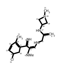 C=C(CN/C=C(/NC)C(=N)C1=C(C)C=CC(Cl)C1)NC1CN(C)C1